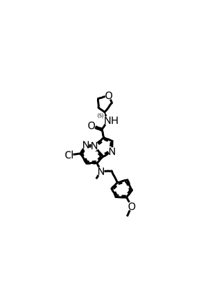 COc1ccc(CN(C)c2cc(Cl)nn3c(C(=O)N[C@H]4CCOC4)cnc23)cc1